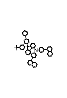 CC(C)(C)c1ccc(C2(c3ccc(-c4ccccc4)cc3)c3ccccc3-c3c(N(c4ccc(-c5cccc6ccccc56)cc4)c4ccc(-c5cccc6ccccc56)cc4)cccc32)cc1